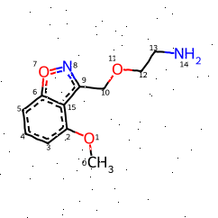 COc1cccc2onc(COCCN)c12